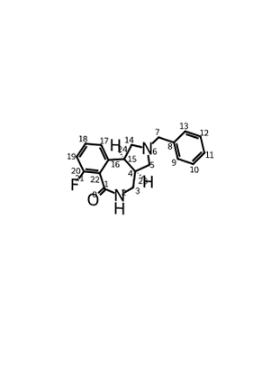 O=C1NC[C@@H]2CN(Cc3ccccc3)C[C@@H]2c2cccc(F)c21